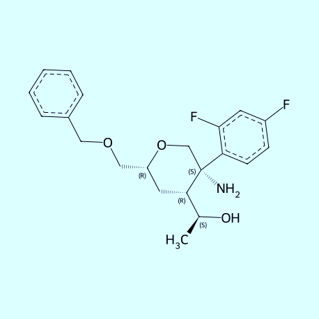 C[C@H](O)[C@@H]1C[C@H](COCc2ccccc2)OC[C@@]1(N)c1ccc(F)cc1F